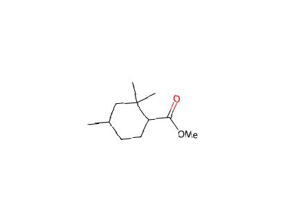 COC(=O)C1CCC(C)CC1(C)C